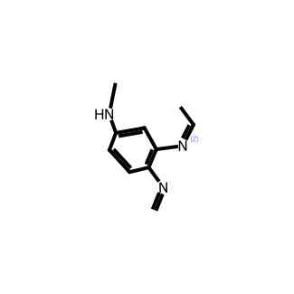 C=Nc1ccc(NC)cc1/N=C\C